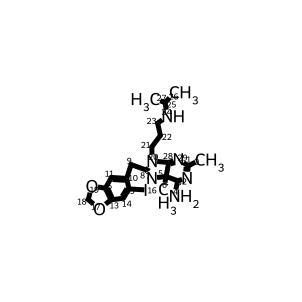 CC1=NC(N)C2(C)N=C(Cc3cc4c(cc3I)OCO4)N(CCCNC(C)C)C2=N1